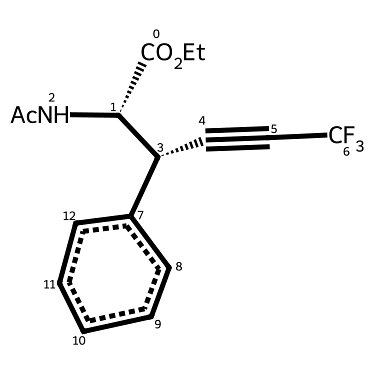 CCOC(=O)[C@@H](NC(C)=O)[C@H](C#CC(F)(F)F)c1ccccc1